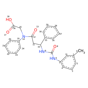 Cc1cccc(NC(=O)NC(CC(=O)N(CC(=O)O)c2ccccc2)c2ccccc2)c1